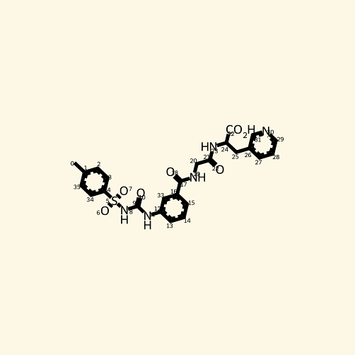 Cc1ccc(S(=O)(=O)NC(=O)Nc2cccc(C(=O)NCC(=O)NC(Cc3cccnc3)C(=O)O)c2)cc1